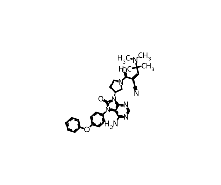 CN(C)C(C)(C)/C=C(/C#N)C(=O)N1CC[C@H](n2c(=O)n(-c3ccc(Oc4ccccc4)cc3)c3c(N)ncnc32)C1